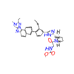 CC#Cc1cc(-c2cnc([C@@H]3[C@H]4CC[C@H](C4)N3C(=O)CNC(=O)OC)[nH]2)ccc1-c1ccc2c(ccc3nc(CN(C)CCC)[nH]c32)c1